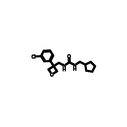 O=C(NCC1CCCC1)NCC1(c2cccc(Cl)c2)COC1